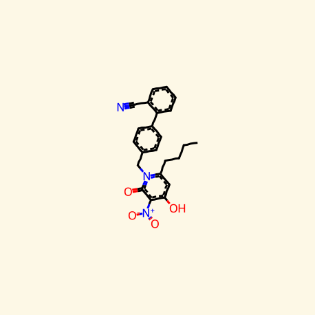 CCCCc1cc(O)c([N+](=O)[O-])c(=O)n1Cc1ccc(-c2ccccc2C#N)cc1